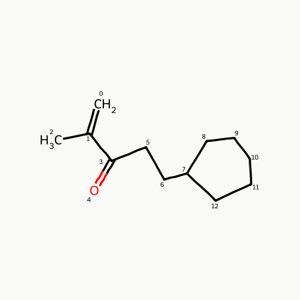 C=C(C)C(=O)CCC1CCCCC1